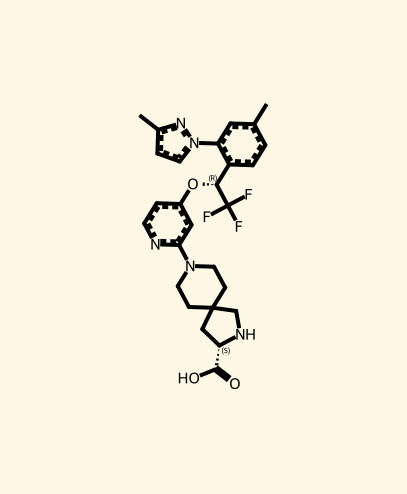 Cc1ccc([C@@H](Oc2ccnc(N3CCC4(CC3)CN[C@H](C(=O)O)C4)c2)C(F)(F)F)c(-n2ccc(C)n2)c1